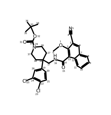 COc1c(C#N)cc2ccccc2c1C(=O)NCC1(c2ccc(Cl)c(Cl)c2)CCN(C(=O)OC(C)(C)C)CC1